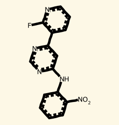 O=[N+]([O-])c1ccccc1Nc1cc(-c2cccnc2F)ncn1